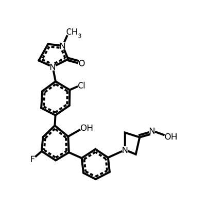 Cn1ccn(-c2ccc(-c3cc(F)cc(-c4cccc(N5CC(=NO)C5)c4)c3O)cc2Cl)c1=O